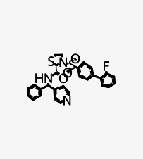 O=C(NC(c1ccccc1)c1ccncc1)[C@@H]1SCCN1S(=O)(=O)c1ccc(-c2ccccc2F)cc1